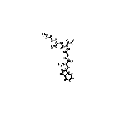 CC[C@H](C)[C@H](NC(=O)CNC(=O)[C@@H](N)Cc1c[nH]c2ccccc12)C(=O)N[C@H]([C]=O)CCCCN